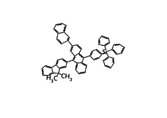 CC1(C)c2ccccc2-c2ccc(-c3c4ccccc4c(-c4ccc([Si](c5ccccc5)(c5ccccc5)c5ccccc5)cc4)c4ccc(-c5ccc6ccccc6c5)cc34)cc21